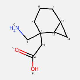 NCC1(CC(=O)O)CCCC2CC21